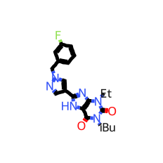 CCC(C)n1c(=O)c2[nH]c(-c3cnn(Cc4cccc(F)c4)c3)nc2n(CC)c1=O